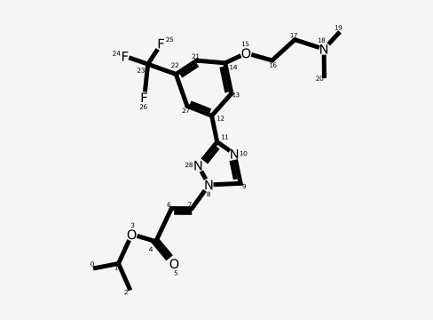 CC(C)OC(=O)C=Cn1cnc(-c2cc(OCCN(C)C)cc(C(F)(F)F)c2)n1